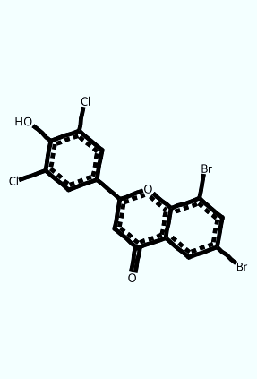 O=c1cc(-c2cc(Cl)c(O)c(Cl)c2)oc2c(Br)cc(Br)cc12